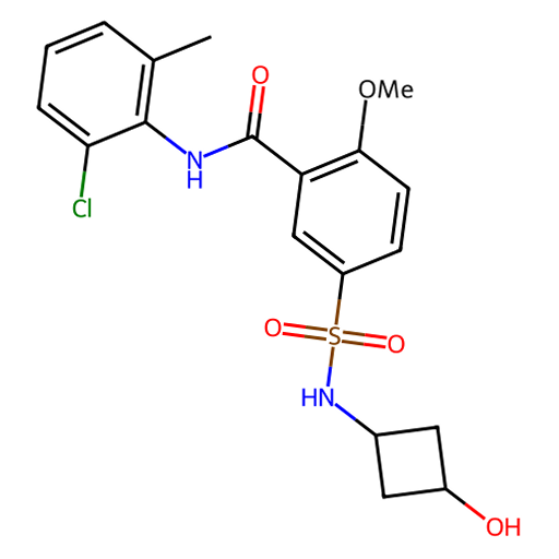 COc1ccc(S(=O)(=O)NC2CC(O)C2)cc1C(=O)Nc1c(C)cccc1Cl